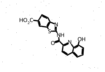 O=C(O)c1ccc2nc(NC(=O)c3ccc4cccc(O)c4n3)sc2c1